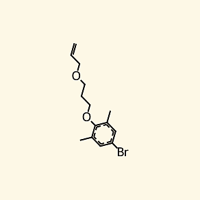 C=CCOCCCOc1c(C)cc(Br)cc1C